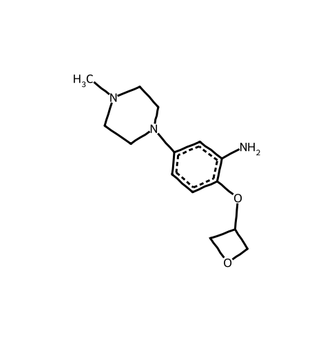 CN1CCN(c2ccc(OC3COC3)c(N)c2)CC1